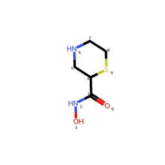 O=C(NO)C1CNCCS1